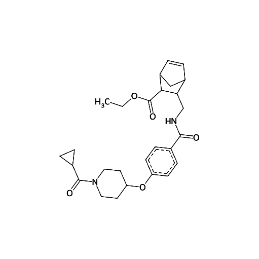 CCOC(=O)C1C2C=CC(C2)C1CNC(=O)c1ccc(OC2CCN(C(=O)C3CC3)CC2)cc1